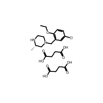 CCOc1ccc(Cl)cc1CN1CCN[C@@H](C)C1.O=C(O)CCC(=O)O.O=C(O)CCC(=O)O